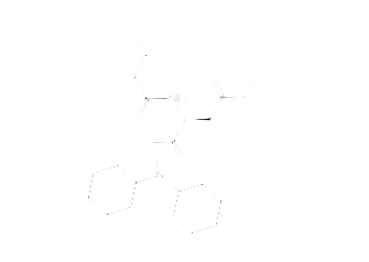 C1CCC(NC2CCCCC2)CC1.COC(=O)C[C@H](NC(=O)[C@H](C)CS)C(=O)O